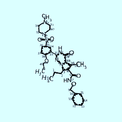 CCCc1c(C(=O)NOCc2ccccc2)c(C)c2c(=O)[nH]c(-c3cc(S(=O)(=O)N4CCN(C)CC4)ccc3OCC)nn12